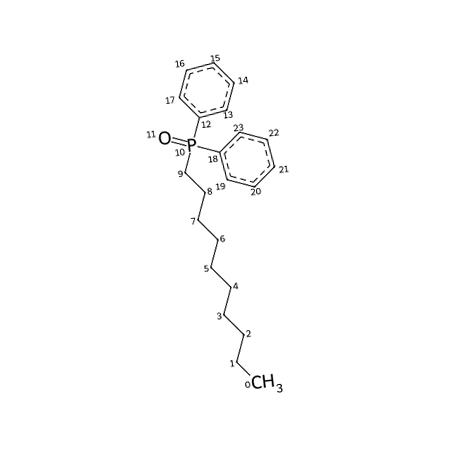 CCCCCCCCCCP(=O)(c1ccccc1)c1ccccc1